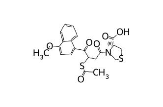 COc1ccc(C(=O)C(CC(=O)N2CSC[C@H]2C(=O)O)SC(C)=O)c2ccccc12